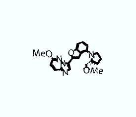 COC[C@H]1CCCN1c1cccc2oc(-c3cnc4ccc(OC)nn34)cc12